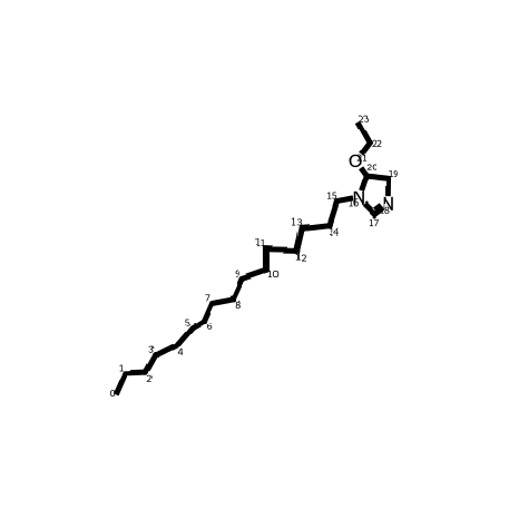 CCCCCCCCCCCCCCCCN1C=NCC1OCC